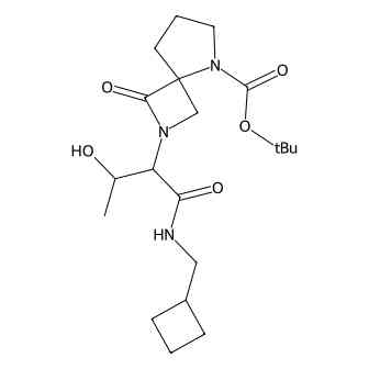 CC(O)C(C(=O)NCC1CCC1)N1CC2(CCCN2C(=O)OC(C)(C)C)C1=O